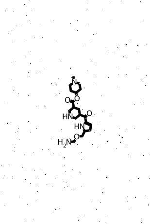 CN1CCC(OC(=O)C2CNCC(C(=O)C3=CCC(COCN)N3)C2)CC1